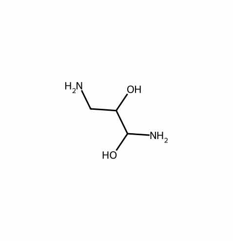 NCC(O)C(N)O